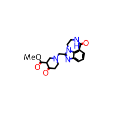 COC(=O)C1CN(Cc2nc3cccc4c3n2CCNC4=O)CCC1=O